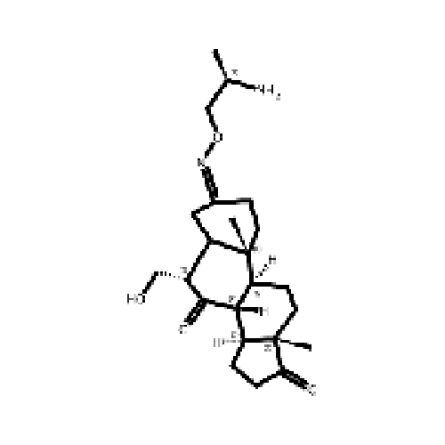 C[C@@H](N)CON=C1CC[C@@]2(C)C(C1)[C@@H](CO)C(=O)[C@@H]1[C@@H]2CC[C@]2(C)C(=O)CC[C@@H]12